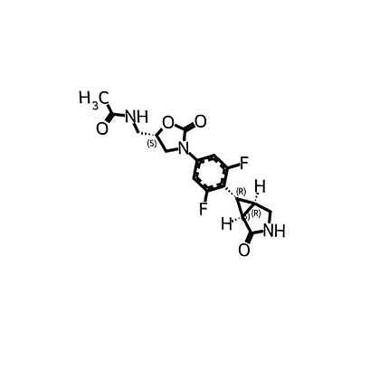 CC(=O)NC[C@H]1CN(c2cc(F)c([C@@H]3[C@H]4CNC(=O)[C@H]43)c(F)c2)C(=O)O1